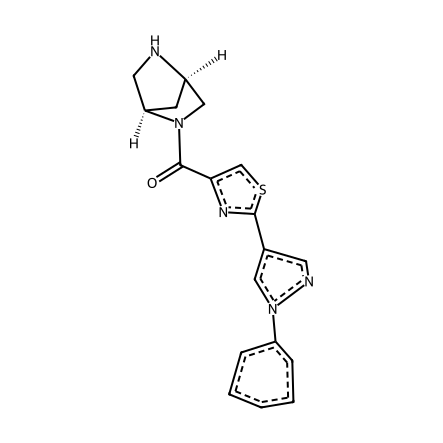 O=C(c1csc(-c2cnn(-c3ccccc3)c2)n1)N1C[C@H]2C[C@@H]1CN2